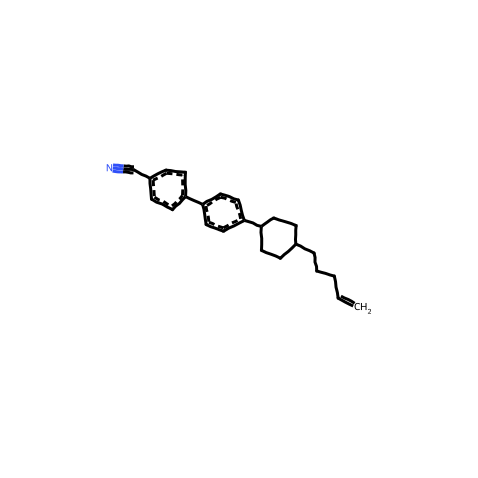 C=CCCCC1CCC(c2ccc(-c3ccc(C#N)cc3)cc2)CC1